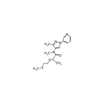 CSCCOC(C)C(=O)N(C)c1cn(-c2cccnc2)nc1C